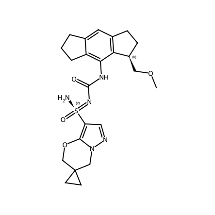 COC[C@@H]1CCc2cc3c(c(NC(=O)N=[S@@](N)(=O)c4cnn5c4OCC4(CC4)C5)c21)CCC3